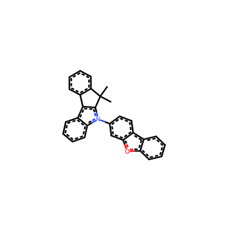 CC1(C)c2ccccc2-c2c1n(-c1ccc3c(c1)oc1ccccc13)c1ccccc21